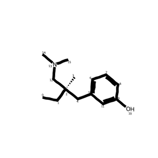 CC[C@](C)(Cc1cccc(O)c1)CN(C)C